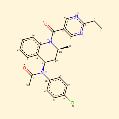 CCc1ncc(C(=O)N2c3ccccc3[C@H](N(C(C)=O)c3ccc(Cl)cc3)C[C@@H]2C)cn1